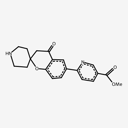 COC(=O)c1ccc(-c2ccc3c(c2)C(=O)CC2(CCNCC2)O3)nc1